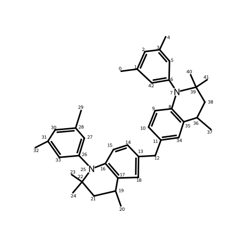 Cc1cc(C)cc(N2c3ccc(Cc4ccc5c(c4)C(C)CC(C)(C)N5c4cc(C)cc(C)c4)cc3C(C)CC2(C)C)c1